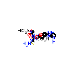 CC1(C)[C@H](NC(=O)/C(=N\O[C@](C)(C(=O)O)[C@H]2CCc3cc(C(=N)N[C@H]4CCCCNC4)ccc3O2)c2csc(N)n2)C(=O)N1OS(=O)(=O)O